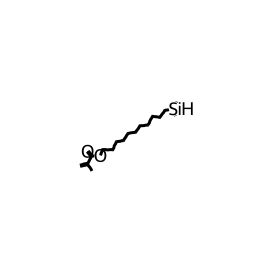 C=C(C)C(=O)OCCCCCCCCCCC[SiH](C)C